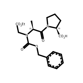 CCOC(=O)CN(C(=O)OCc1ccccc1)[C@@H](C)C(=O)N1CCC[C@H]1C(=O)O